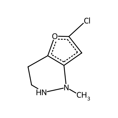 CN1NCCc2oc(Cl)cc21